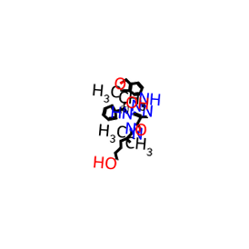 CC(C)(CCCCO)c1noc(-c2cnc(Nc3ccc4c(c3)C(C)(C)OC4)nc2N[C@H](CO)c2ccccc2)n1